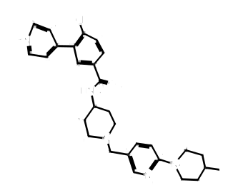 CC1CCN(c2ccc(CN3CCC(NC(=O)c4ccc(Cl)c(-c5ccncc5)c4)CC3)cn2)CC1